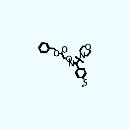 CSc1ccc(/C(=N/OCC(=O)OCc2ccccc2)C(C)(C)N2CCOCC2)cc1